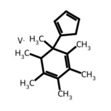 CC1=C(C)C(C)C(C)(C2=CC=CC2)C(C)=C1C.[V]